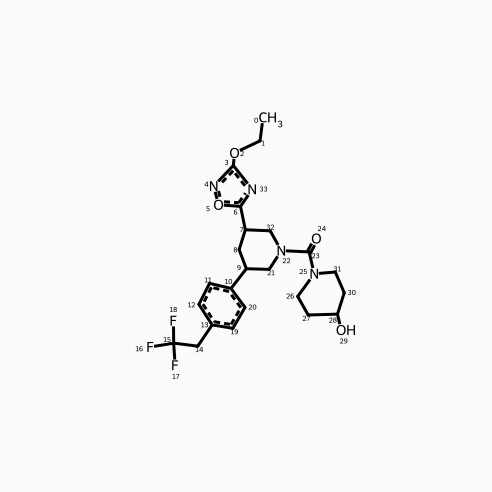 CCOc1noc(C2CC(c3ccc(CC(F)(F)F)cc3)CN(C(=O)N3CCC(O)CC3)C2)n1